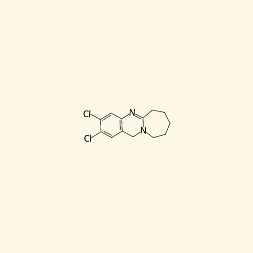 Clc1cc2c(cc1Cl)N=C1CCCCCN1C2